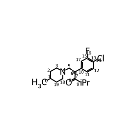 CC1CCN(C[C@H](C(=O)C(C)C)c2ccc(Cl)c(F)c2)CC1